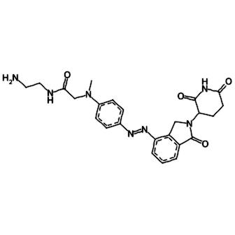 CN(CC(=O)NCCN)c1ccc(/N=N/c2cccc3c2CN(C2CCC(=O)NC2=O)C3=O)cc1